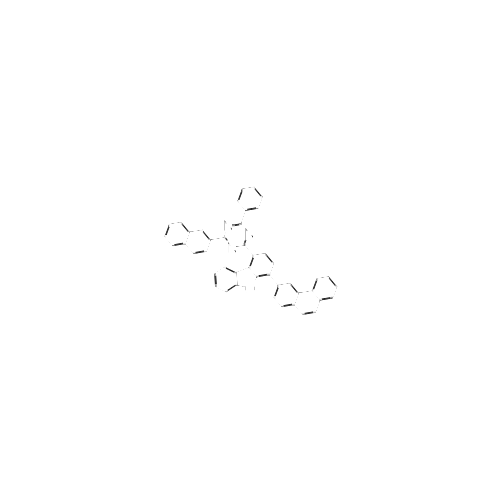 c1ccc(-c2nc(-c3ccc4ccccc4c3)nc(-c3ccc(-c4ccc5ccc6ccccc6c5c4)c4oc5ccccc5c34)n2)cc1